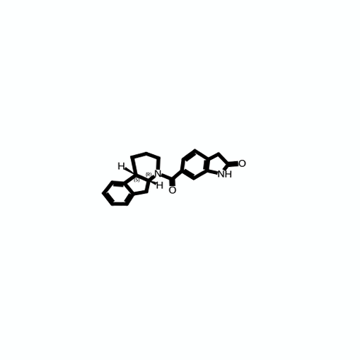 O=C1Cc2ccc(C(=O)N3CCC[C@H]4c5ccccc5C[C@H]43)cc2N1